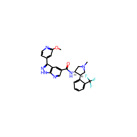 COc1cc(-c2n[nH]c3ncc(C(=O)N[C@@H]4CN(C)C[C@H]4c4ccccc4C(F)(F)F)cc23)ccn1